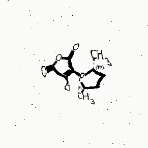 C[C@@H]1CC[C@@H](C)P1C1=C(Cl)C(=O)OC1=O